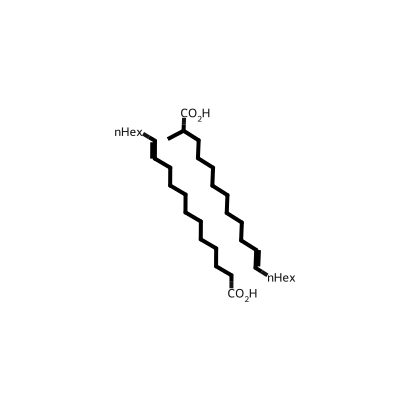 CCCCCC/C=C/CCCCCCCCCC(=O)O.CCCCCCC=CCCCCCCCCC(C)C(=O)O